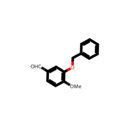 COc1ccc([C]=O)cc1OCc1ccccc1